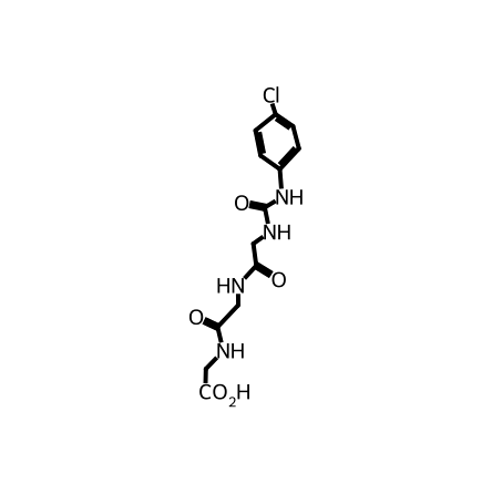 O=C(O)CNC(=O)CNC(=O)CNC(=O)Nc1ccc(Cl)cc1